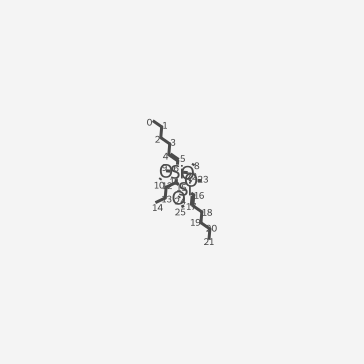 CCCCC=C[Si](OC)(OC)C(CCC)[Si](C=CCCCC)(OC)OC